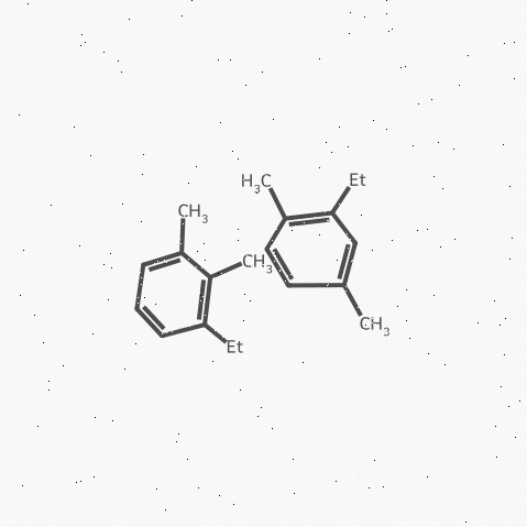 CCc1cc(C)ccc1C.CCc1cccc(C)c1C